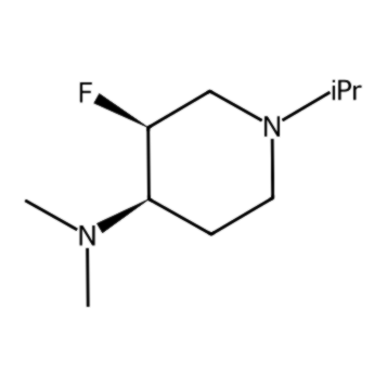 CC(C)N1CC[C@@H](N(C)C)[C@@H](F)C1